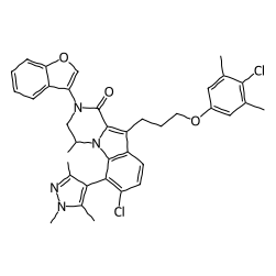 Cc1cc(OCCCc2c3n(c4c(-c5c(C)nn(C)c5C)c(Cl)ccc24)C(C)CN(c2coc4ccccc24)C3=O)cc(C)c1Cl